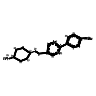 CCCCc1ccc(-c2ncc(CC[C@H]3CC[C@H](CCC)CC3)cn2)cc1